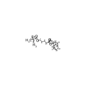 CCC(C)(C)C(=O)OCCCCC(=O)OC1(C(C)C)C2CC3CC(C2)CC1C3